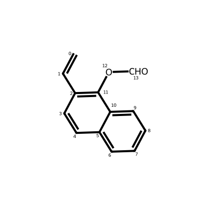 C=Cc1ccc2ccccc2c1OC=O